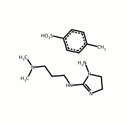 CN(C)CCCNC1=NCCN1N.Cc1ccc(S(=O)(=O)O)cc1